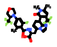 Cc1cc(N2CCOC[C@@H]2C(F)(F)F)cc(F)c1C(=O)N[C@@H](Cc1ccc(-c2c(C(F)(F)F)cc(C)n(C)c2=O)c2nccn12)C(=O)O